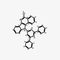 Clc1nc2c3ccccc3n(-c3cc(-c4ccccc4)nc(-c4ccccc4)n3)c2c2ccccc12